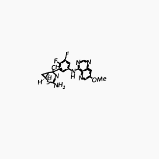 COc1cnc2c(Nc3cc(F)c(F)c([C@]4(C)N=C(N)S[C@H]5C[C@H]54)c3)ncnc2c1